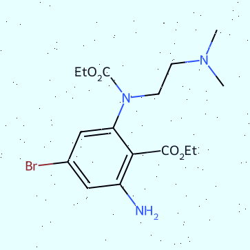 CCOC(=O)c1c(N)cc(Br)cc1N(CCN(C)C)C(=O)OCC